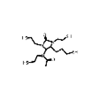 CC(=O)N(CCS)C1C(CCCS)N(CCS)C(=O)N1CCS